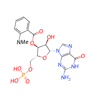 CNc1ccccc1C(=O)O[C@H]1[C@@H](O)[C@H](n2cnc3c(=O)[nH]c(N)nc32)O[C@@H]1COP(=O)(O)O